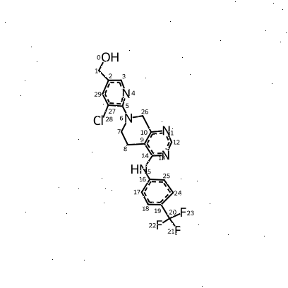 OCc1cnc(N2CCc3c(ncnc3Nc3ccc(C(F)(F)F)cc3)C2)c(Cl)c1